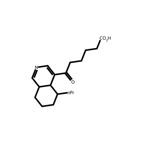 CCCC1CCCC2C=NC=C(C(=O)CCCCC(=O)O)C21